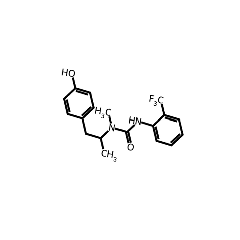 CC(Cc1ccc(O)cc1)N(C)C(=O)Nc1ccccc1C(F)(F)F